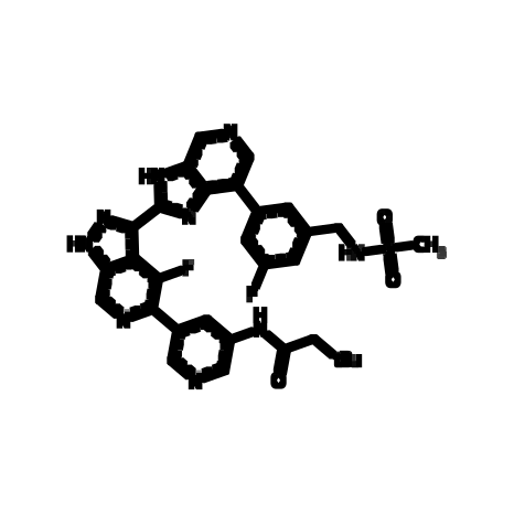 CC(C)(C)CC(=O)Nc1cncc(-c2ncc3[nH]nc(-c4nc5c(-c6cc(F)cc(CNS(C)(=O)=O)c6)cncc5[nH]4)c3c2F)c1